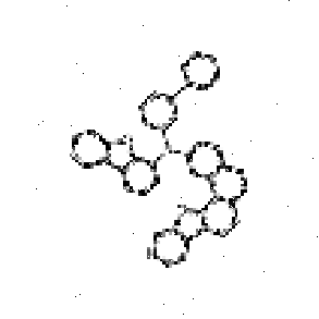 c1ccc(-c2cccc(N(c3ccc4ccc5ccc6c7ccncc7oc6c5c4c3)c3cccc4c3oc3ccccc34)c2)cc1